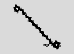 N[C@H](COCCCCCCCCCCCCOCCc1ccccc1)c1ccccc1